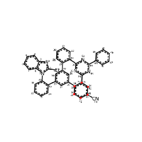 CCc1nc2ccccc2n1-c1ccccc1-c1cc(-c2ccc(C#N)cc2)cc(-c2ccccc2-c2nc(-c3ccccc3)nc(-c3ccccc3)n2)c1